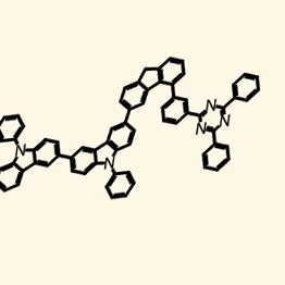 c1ccc(-c2nc(-c3ccccc3)nc(-c3cccc(-c4cccc5c4-c4cc(-c6ccc7c(c6)c6cc(-c8ccc9c(c8)c8ccccc8n9-c8ccccc8)ccc6n7-c6ccccc6)ccc4C5)c3)n2)cc1